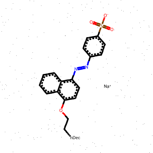 CCCCCCCCCCCCOc1ccc(/N=N/c2ccc(S(=O)(=O)[O-])cc2)c2ccccc12.[Na+]